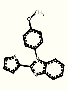 COc1ccc(-n2c(-c3cccs3)nc3ccccc32)cc1